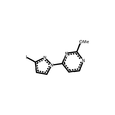 COc1nccc(-n2ccc(I)n2)n1